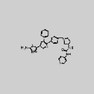 Nc1nnc(-c2cnc(-c3ccc(CN4CCC(NC(=O)Nc5ccncc5)C4)cc3)c(-c3ccccc3)c2)s1